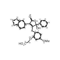 COc1ccc(CC2=C(c3ccc4nsnc4c3)C(=O)OC2(O)c2ccccc2)c(OCC(=O)O)c1